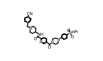 CCCS(=O)(=O)c1ccc(N2CCN(C(=O)c3ccc(C(=O)NC4CCN(Cc5ccc(C#N)cc5)CC4)nc3)CC2)cc1